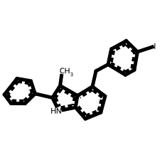 Cc1c(-c2ccccc2)[nH]c2cccc(Cc3ccc(I)cc3)c12